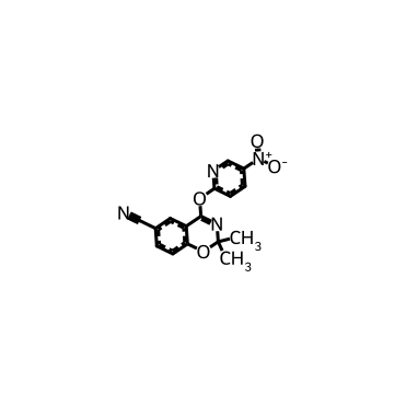 CC1(C)N=C(Oc2ccc([N+](=O)[O-])cn2)c2cc(C#N)ccc2O1